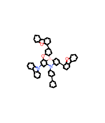 c1ccc(-c2ccc(N3c4cc(-c5cccc6c5oc5ccccc56)ccc4B4c5ccc(-c6cccc7c6oc6ccccc67)cc5Oc5cc(-n6c7ccccc7c7ccccc76)cc3c54)cc2)cc1